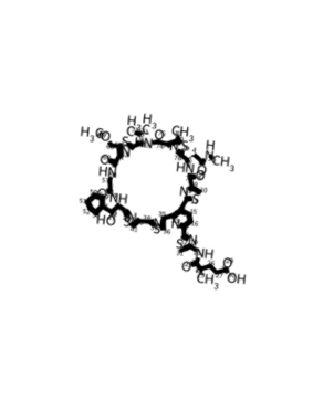 CNC(=O)C[C@@H]1NC(=O)c2csc(n2)-c2ccc(-c3nc(NC(=O)[C@H](C)CCC(=O)O)cs3)nc2-c2csc(n2)-c2csc(n2)[C@H]([C@@H](O)c2ccccc2)NC(=O)CNC(=O)c2nc(sc2COC)[C@H](C(C)C)NC(=O)c2nc1sc2C